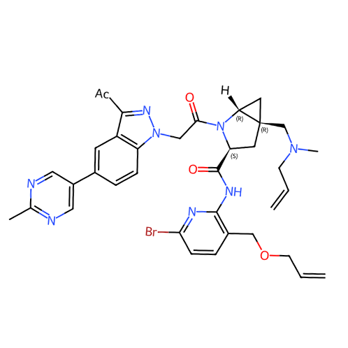 C=CCOCc1ccc(Br)nc1NC(=O)[C@@H]1C[C@@]2(CN(C)CC=C)C[C@H]2N1C(=O)Cn1nc(C(C)=O)c2cc(-c3cnc(C)nc3)ccc21